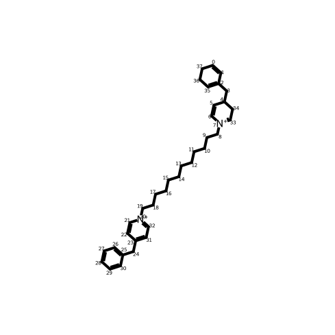 C1=CC(CC2C=C[N+](CCCCCCCCCCCC[n+]3ccc(Cc4ccccc4)cc3)=CC2)=CCC1